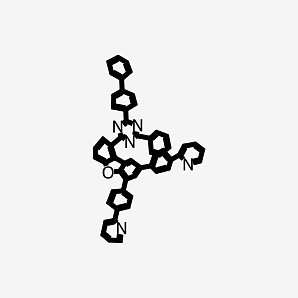 c1ccc(-c2ccc(-c3nc(-c4ccccc4)nc(-c4cccc5oc6c(-c7ccc(-c8ccccn8)cc7)cc(-c7ccc(-c8ccccn8)cc7)cc6c45)n3)cc2)cc1